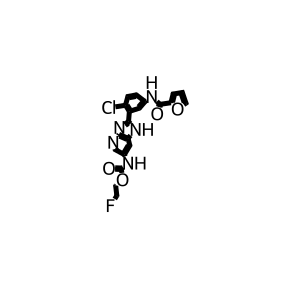 O=C(Nc1cnc2nc(-c3cc(NC(=O)c4ccco4)ccc3Cl)[nH]c2c1)OCCF